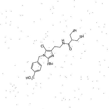 CCCCc1nc(CCNC(=O)C(CS)CC(C)C)c(Cl)n1Cc1ccc(C(=O)O)cc1